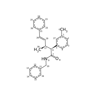 Cc1cccc([C@@H](C(=O)NCc2ccccc2)[C@@H](C)/C=C/c2ccccc2)c1